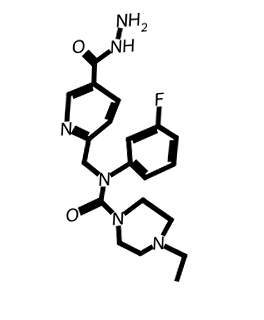 CCN1CCN(C(=O)N(Cc2ccc(C(=O)NN)cn2)c2cccc(F)c2)CC1